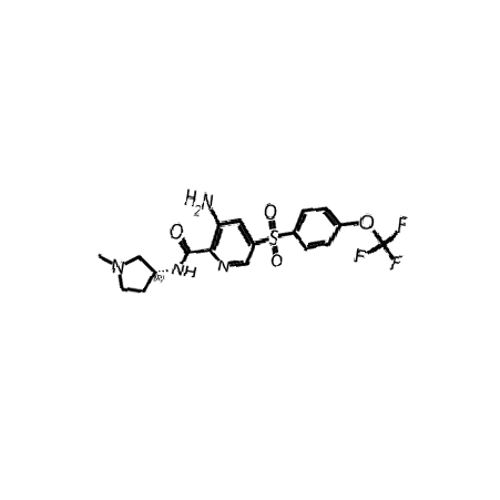 CN1CC[C@@H](NC(=O)c2ncc(S(=O)(=O)c3ccc(OC(F)(F)F)cc3)cc2N)C1